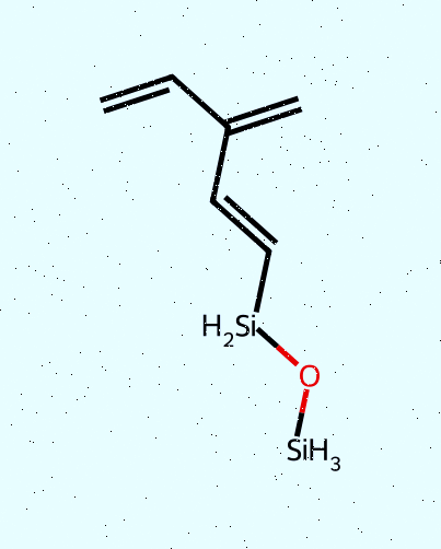 C=CC(=C)C=C[SiH2]O[SiH3]